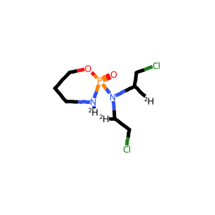 [2H]C(CCl)N(C([2H])CCl)P1(=O)OCCCN1[2H]